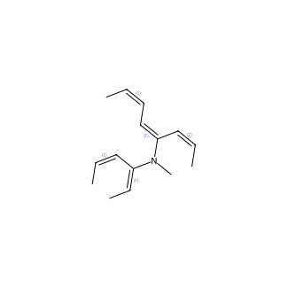 C\C=C/C=C(\C=C/C)N(C)C(/C=C\C)=C/C